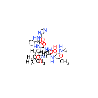 CCCC(NC(=O)C1CN(C(=O)OC(C)(C)C)C[C@@H]1NC(=O)C(NC(=O)[C@@H](NC(=O)c1cnccn1)C1CCCCC1)C(C)(C)C)C(O)C(=O)NC1CC1